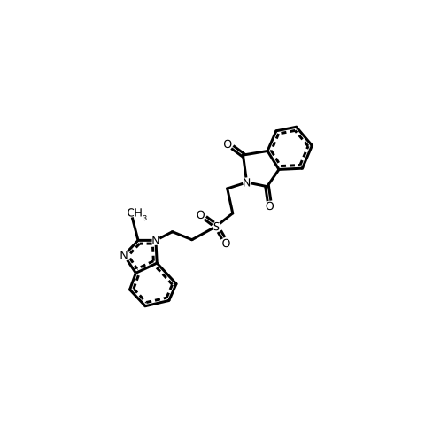 Cc1nc2ccccc2n1CCS(=O)(=O)CCN1C(=O)c2ccccc2C1=O